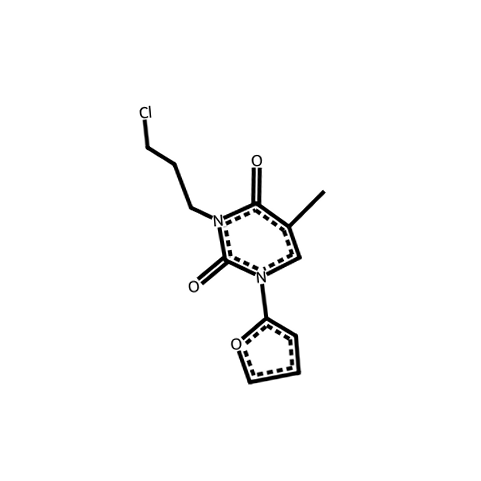 Cc1cn(-c2ccco2)c(=O)n(CCCCl)c1=O